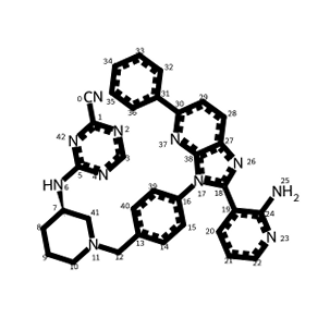 N#Cc1ncnc(N[C@@H]2CCCN(Cc3ccc(-n4c(-c5cccnc5N)nc5ccc(-c6ccccc6)nc54)cc3)C2)n1